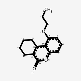 CCCOc1cccc2oc(=O)c3c(c12)CCCC3